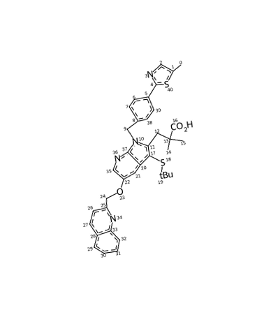 Cc1cnc(-c2ccc(Cn3c(CC(C)(C)C(=O)O)c(SC(C)(C)C)c4cc(OCc5ccc6ccccc6n5)cnc43)cc2)s1